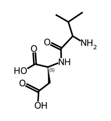 CC(C)C(N)C(=O)N[C@@H](CC(=O)O)C(=O)O